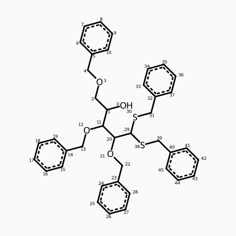 OC(COCc1ccccc1)C(OCc1ccccc1)C(OCc1ccccc1)C(SCc1ccccc1)SCc1ccccc1